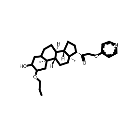 CCCOC1C[C@@]2(C)C(CC[C@H]3[C@@H]4CC[C@H](C(=O)CSc5ccncc5)[C@@]4(C)CC[C@@H]32)CC1O